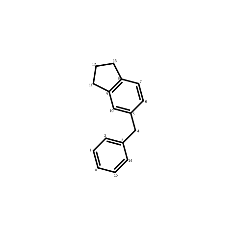 c1ccc(Cc2ccc3c(c2)CCC3)cc1